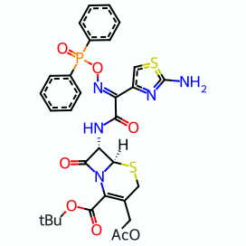 CC(=O)OCC1=C(C(=O)OC(C)(C)C)N2C(=O)[C@H](NC(=O)C(=NOP(=O)(c3ccccc3)c3ccccc3)c3csc(N)n3)[C@H]2SC1